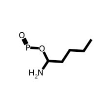 CCCCC(N)OP=O